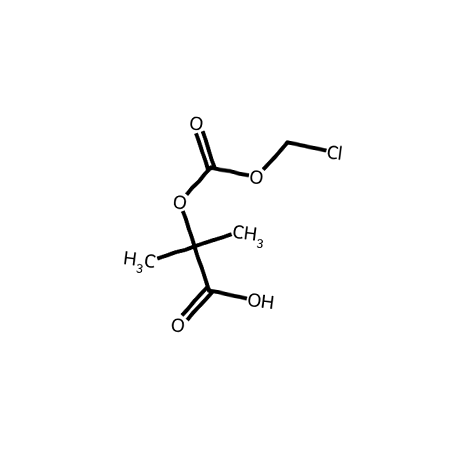 CC(C)(OC(=O)OCCl)C(=O)O